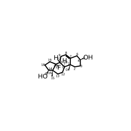 C[C@]12CC[C@H](O)CC1=CC[C@@H]1[C@@H]2CC[C@]2(C)[C@@H](O)CC[C@@]12F